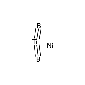 [B]#[Ti]#[B].[Ni]